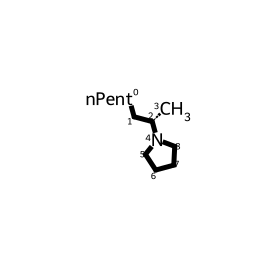 CCCCCC[C@H](C)N1CCCC1